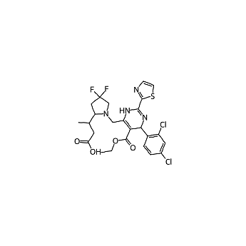 CCOC(=O)C1=C(CN2CC(F)(F)CC2C(C)CC(=O)O)NC(c2nccs2)=NC1c1ccc(Cl)cc1Cl